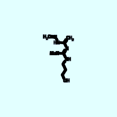 C=NNC(=C)/N=C(\NC)NCCCO